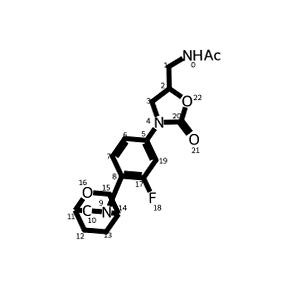 CC(=O)NCC1CN(c2ccc(N3CC4CCC3CO4)c(F)c2)C(=O)O1